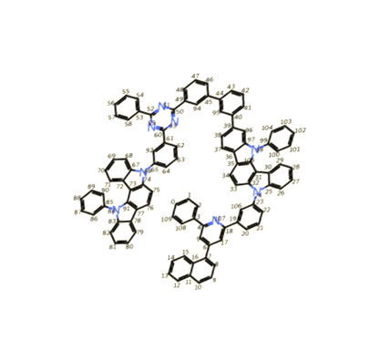 c1ccc(-c2cc(-c3cccc4ccccc34)cc(-c3cccc(-n4c5ccccc5c5c4ccc4c6ccc(-c7cccc(-c8cccc(-c9nc(-c%10ccccc%10)nc(-c%10cccc(-n%11c%12ccccc%12c%12c%11ccc%11c%13ccccc%13n(-c%13ccccc%13)c%11%12)c%10)n9)c8)c7)cc6n(-c6ccccc6)c45)c3)n2)cc1